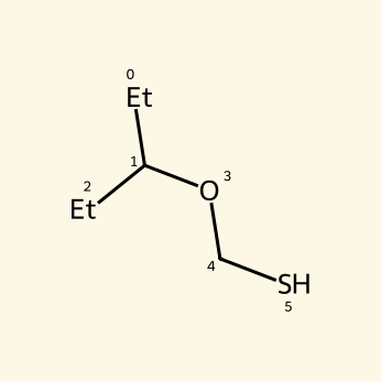 CCC(CC)OCS